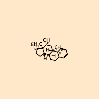 CC[C@H]1CC[C@H]2[C@@H]3CCC4C=CC=C[C@]4(C)[C@H]3C[C@@H](O)[C@]12C